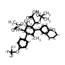 Cc1c(-c2ccc(OC(F)(F)F)cc2)c(NS(C)(=O)=O)c(C)c(C(OC(C)(C)C)C(=O)O)c1-c1ccc2c(c1)CCCO2